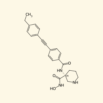 CCc1ccc(C#Cc2ccc(C(=O)N[C@]3(C(=O)NO)CCCNC3)cc2)cc1